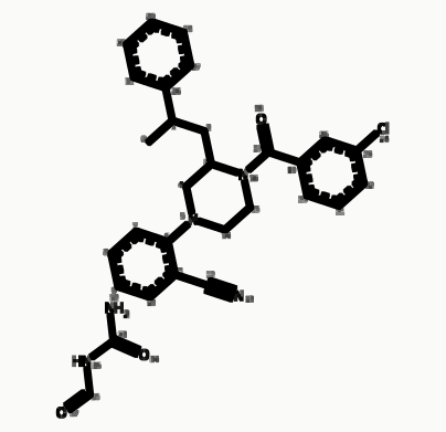 CC(CC1CN(c2ccccc2C#N)CCN1C(=O)c1cccc(Cl)c1)c1ccccc1.NC(=O)NC=O